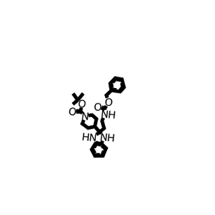 CC(C)(C)OC(=O)N1CCC(C2(CCNC(=O)OCc3ccccc3)Nc3ccccc3N2)CC1